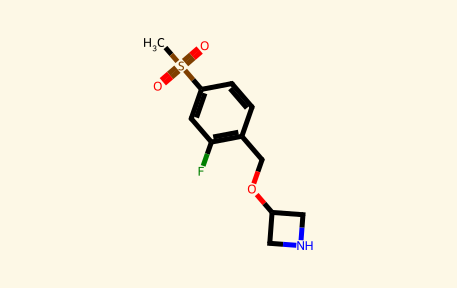 CS(=O)(=O)c1ccc(COC2CNC2)c(F)c1